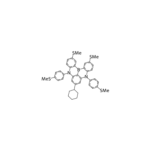 CSc1ccc(N2c3ccc(SC)cc3B3c4cc(SC)ccc4N(c4ccc(SC)cc4)c4cc(C5CCCCC5)cc2c43)cc1